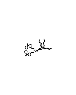 CCC[CH2][Sn](/[CH]=C/CN(CCOC(C)=O)CCOC(C)=O)([CH2]CCC)[CH2]CCC